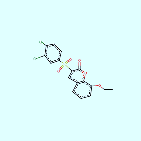 CCOc1cccc2cc(S(=O)(=O)c3ccc(Cl)c(Cl)c3)c(=O)oc12